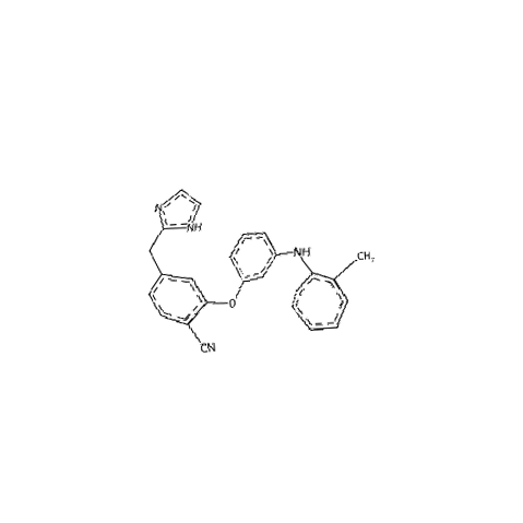 Cc1ccccc1Nc1cccc(Oc2cc(Cc3ncc[nH]3)ccc2C#N)c1